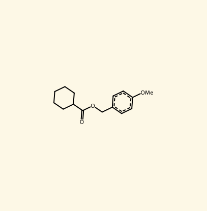 COc1ccc(COC(=O)C2CCCCC2)cc1